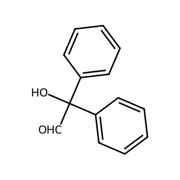 O=CC(O)(c1ccccc1)c1ccccc1